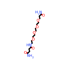 NC(=O)CCOCCOCCOCCOCCNC(=O)CCC(N)=O